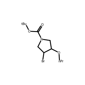 CCCOC1CN(C(=O)OC(C)(C)C)CC1Br